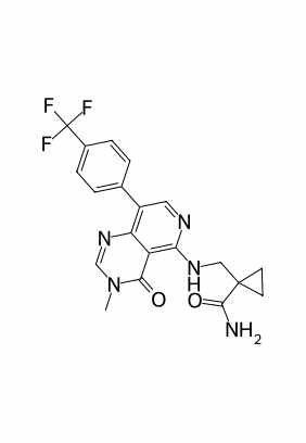 Cn1cnc2c(-c3ccc(C(F)(F)F)cc3)cnc(NCC3(C(N)=O)CC3)c2c1=O